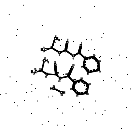 CC(C)OC(=O)OC(=O)c1ccccc1.CC(C)OC(=O)OC(=O)c1ccccc1.OO